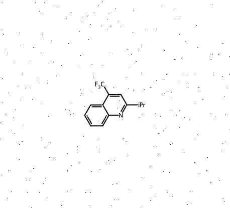 CC(C)c1cc(C(F)(F)F)c2ccccc2n1